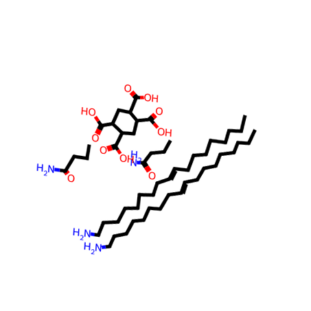 CCCC(N)=O.CCCC(N)=O.CCCCCCCCC=CCCCCCCCCN.CCCCCCCCC=CCCCCCCCCN.O=C(O)C1CC(C(=O)O)C(C(=O)O)CC1C(=O)O